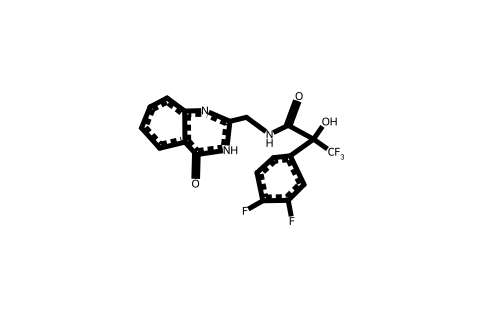 O=C(NCc1nc2ccccc2c(=O)[nH]1)C(O)(c1ccc(F)c(F)c1)C(F)(F)F